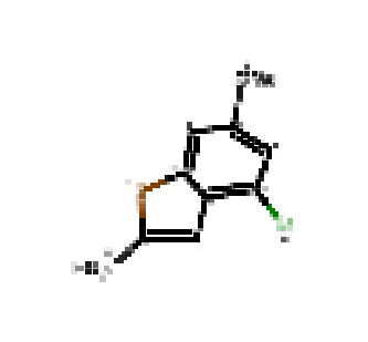 COc1cc(Br)c2cc(C(=O)O)sc2c1